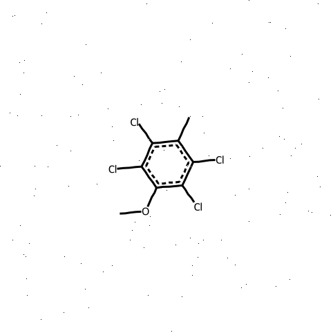 COc1c(Cl)c(Cl)c(C)c(Cl)c1Cl